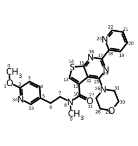 COc1ccc(CCN(C)C(=O)c2csc3nc(-c4ccccn4)nc(N4CCOCC4)c23)cn1